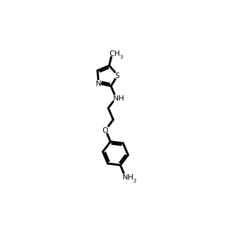 Cc1cnc(NCCOc2ccc(N)cc2)s1